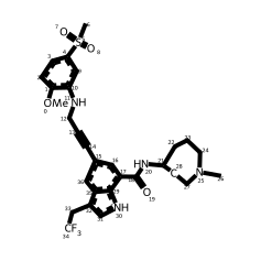 COc1ccc(S(C)(=O)=O)cc1NCC#Cc1cc(C(=O)NC2CCCN(C)CC2)c2[nH]cc(CC(F)(F)F)c2c1